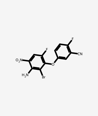 N#Cc1cc(Oc2c(F)cc([N+](=O)[O-])c(N)c2Br)ccc1F